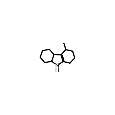 CC1CCCC2=C1C1CCCCC1N2